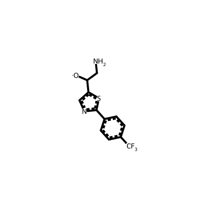 NCC([O])c1cnc(-c2ccc(C(F)(F)F)cc2)s1